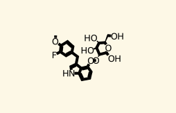 COc1ccc(Cc2c[nH]c3cccc(OO[C@H]4C(O)O[C@H](CO)[C@@H](O)[C@@H]4O)c23)cc1F